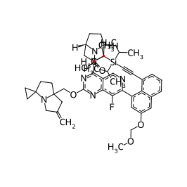 C=C1CN2C3(CC3)CCC2(COc2nc(N3C[C@H]4CC[C@@H](C3)N4C(=O)O)c3cnc(-c4cc(OCOC)cc5cccc(C#C[Si](C(C)C)(C(C)C)C(C)C)c45)c(F)c3n2)C1